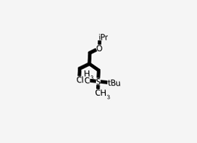 CC(C)OCC(CCl)CS(C)(C)C(C)(C)C